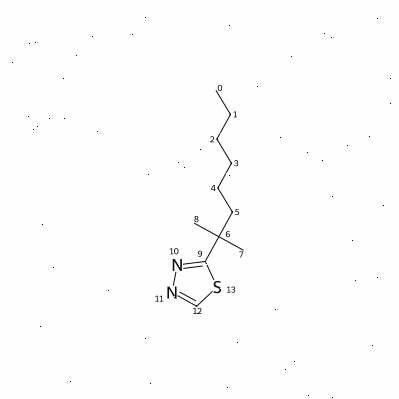 CCCCCCC(C)(C)c1nncs1